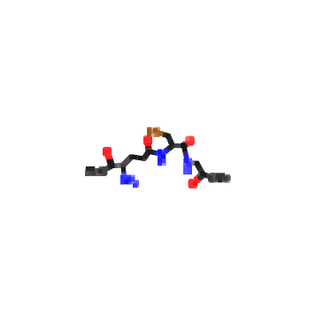 COC(=O)CNC(=O)C(CS)NC(=O)CCC(N)C(=O)OC